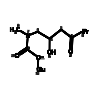 CC(C)C(=O)CC(O)CN(C)C(=O)OC(C)(C)C